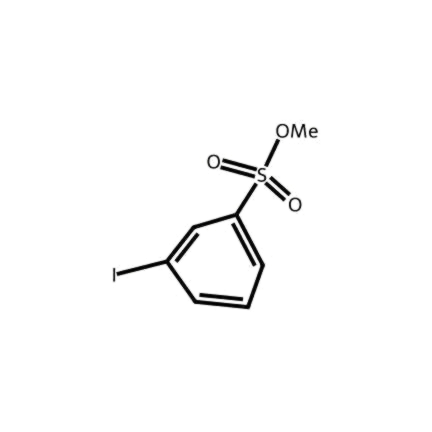 [CH2]OS(=O)(=O)c1cccc(I)c1